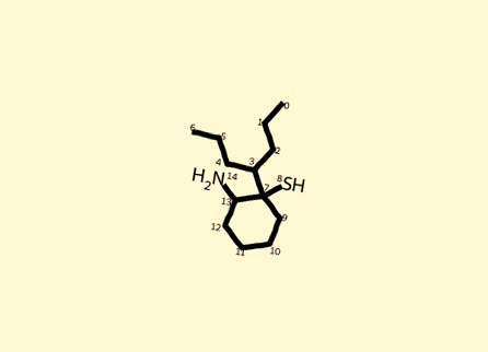 CCCC(CCC)C1(S)CCCCC1N